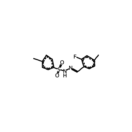 Cc1ccc(S(=O)(=O)NN=Cc2ccc(C)cc2F)cc1